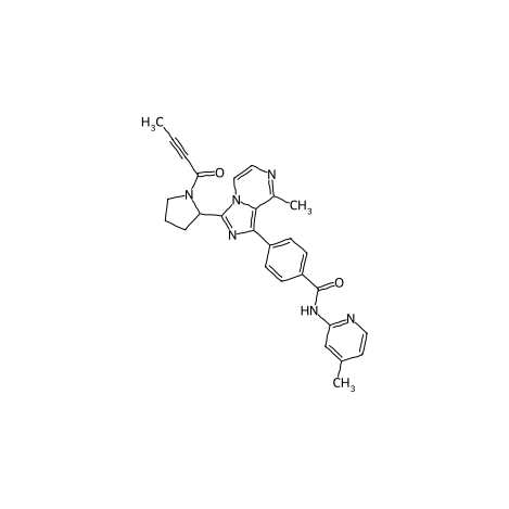 CC#CC(=O)N1CCCC1c1nc(-c2ccc(C(=O)Nc3cc(C)ccn3)cc2)c2c(C)nccn12